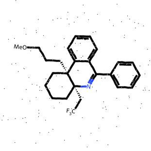 COCCC[C@@]12CCCC[C@]1(CC(F)(F)F)N=C(c1ccccc1)c1ccccc12